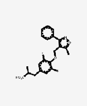 Cc1onc(-c2ccccc2)c1COc1c(F)cc(CC(C)C(=O)O)cc1F